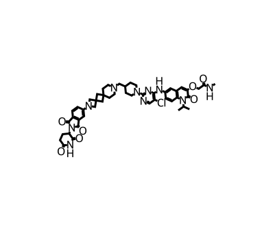 CNC(=O)COc1cc2cc(Nc3nc(N4CCC(CN5CCC6(CC5)CC5(CN(c7ccc8c(c7)C(=O)N(C7CCC(=O)NC7=O)C8=O)C5)C6)CC4)ncc3Cl)ccc2n(C(C)C)c1=O